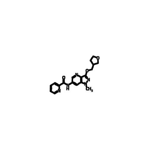 Cn1nc(OCC2CCOC2)c2ncc(NC(=O)c3ccccn3)cc21